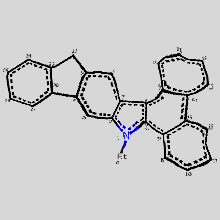 CCn1c2cc3c(cc2c2c4ccccc4c4ccccc4c21)Cc1ccccc1-3